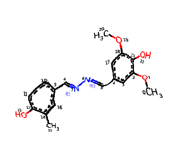 COc1cc(/C=N/N=C/c2ccc(O)c(C)c2)cc(OC)c1O